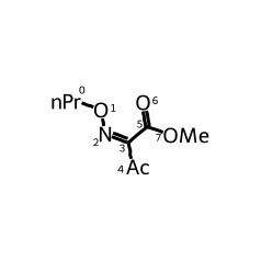 CCCON=C(C(C)=O)C(=O)OC